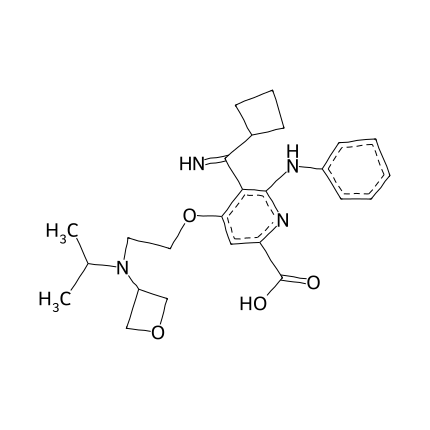 CC(C)N(CCOc1cc(C(=O)O)nc(Nc2ccccc2)c1C(=N)C1CCC1)C1COC1